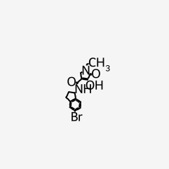 CCN1CC(C(=O)NC2CCc3cc(Br)ccc32)=C(O)C1=O